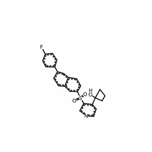 O=S(=O)(c1ccc2cc(-c3ccc(F)cc3)ccc2c1)c1cnccc1C1(O)CCC1